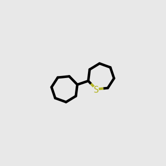 C1CCCC(C2CCCCCS2)CC1